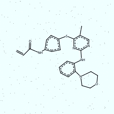 C=CC(=O)Nc1ccc(Sc2nc(Nc3ccccc3N3CCOCC3)ncc2C)cc1